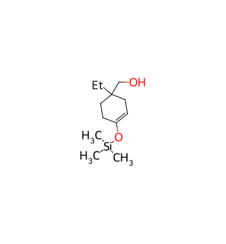 CCC1(CO)CC=C(O[Si](C)(C)C)CC1